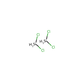 Cl[SiH2]Cl.Cl[SiH2]Cl